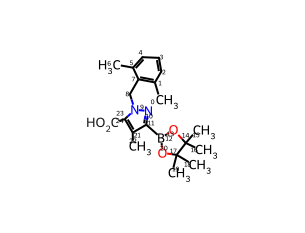 Cc1cccc(C)c1Cn1nc(B2OC(C)(C)C(C)(C)O2)c(C)c1C(=O)O